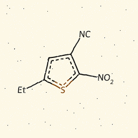 [C-]#[N+]c1cc(CC)sc1[N+](=O)[O-]